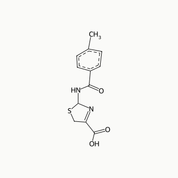 Cc1ccc(C(=O)NC2N=C(C(=O)O)CS2)cc1